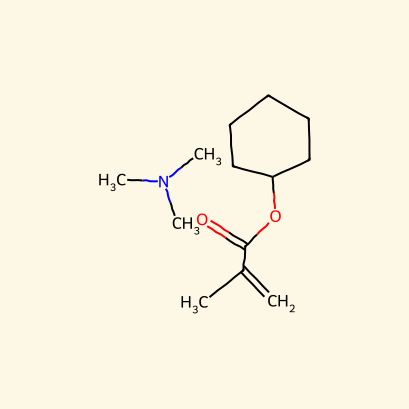 C=C(C)C(=O)OC1CCCCC1.CN(C)C